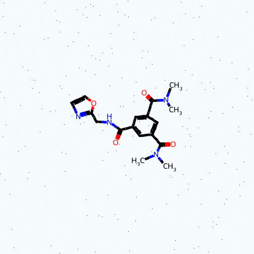 CN(C)C(=O)c1cc(C(=O)NCc2ncco2)cc(C(=O)N(C)C)c1